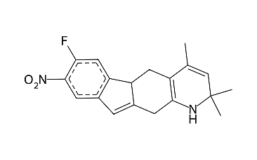 CC1=CC(C)(C)NC2=C1CC1C(=Cc3cc([N+](=O)[O-])c(F)cc31)C2